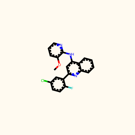 COc1cccnc1Nc1cc(-c2cc(Cl)ccc2F)nc2ccccc12